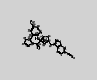 N#Cc1ccc2c(cnn2CC23CC(C2)[C@@H](C(=O)N2N=CCC2c2cncc(F)c2)C3)n1